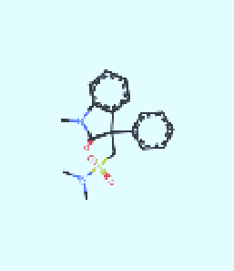 CN1C(=O)C(CS(=O)(=O)N(C)C)(c2ccccc2)c2ccccc21